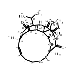 C/C=C1/NC(=O)[C@@H]2NC(=O)[C@@H](C(C)C)NC(=O)C[C@@H](/C=C\CCSS2)OC(=O)C(C(C)C)NC1=O